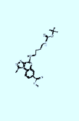 COC(=O)c1ccc2c(c1)nc(NCCCCNC(=O)OC(C)(C)C)c1nnc(C)n12